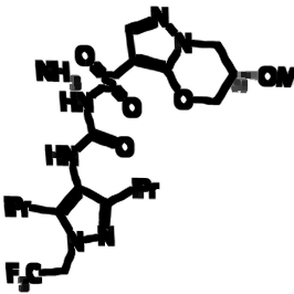 CO[C@@H]1COc2c(S(=O)(=O)NC(=O)Nc3c(C(C)C)nn(CC(F)(F)F)c3C(C)C)cnn2C1.N